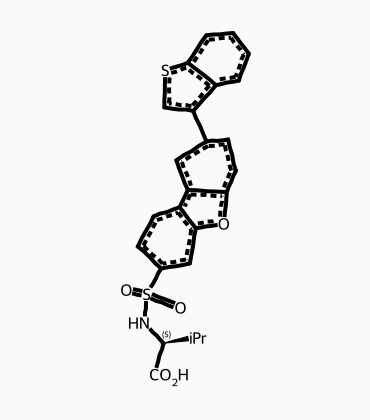 CC(C)[C@H](NS(=O)(=O)c1ccc2c(c1)oc1ccc(-c3csc4ccccc34)cc12)C(=O)O